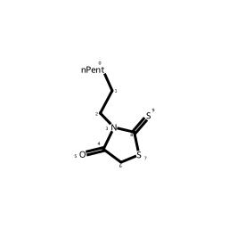 CCCCCCCN1C(=O)CSC1=S